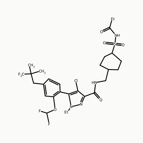 CCC(=O)NS(=O)(=O)C1CCC(CNC(=O)c2nn(CC)c(-c3ccc(CC(C)(C)C(F)(F)F)cc3OC(F)F)c2Cl)CC1